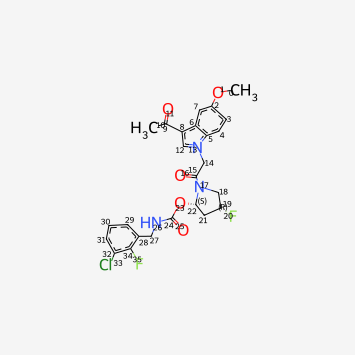 COc1ccc2c(c1)c(C(C)=O)cn2CC(=O)N1C[C@H](F)C[C@@H]1OC(=O)NCc1cccc(Cl)c1F